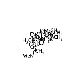 CC[C@H](C)[C@@H]([C@@H](CC(=O)N1CCC[C@H]1[C@H](OC)[C@@H](C)C(=O)N[C@@H](Cc1ccccc1)C(=O)N(C)CCNC)OC)N(C)C(=O)[C@@H](N=C(N(C)C)N(C)C)C(C)C